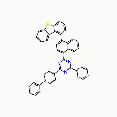 c1ccc(-c2ccc(-c3nc(-c4ccccc4)nc(-c4ccc(-c5cccc6sc7ccccc7c56)c5ccccc45)n3)cc2)cc1